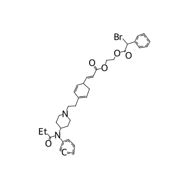 CCC(=O)N(c1ccccc1)C1CCN(CCC2=CCC(/C=C/C(=O)OCCOC(=O)C(Br)c3ccccc3)C=C2)CC1